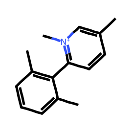 Cc1ccc(-c2c(C)cccc2C)[n+](C)c1